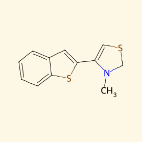 CN1CSC=C1c1cc2ccccc2s1